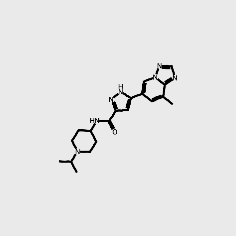 Cc1cc(-c2cc(C(=O)NC3CCN(C(C)C)CC3)n[nH]2)cn2ncnc12